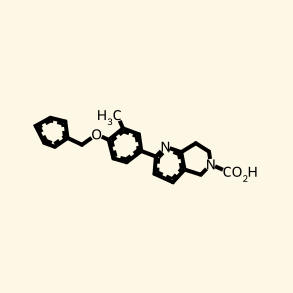 Cc1cc(-c2ccc3c(n2)CCN(C(=O)O)C3)ccc1OCc1ccccc1